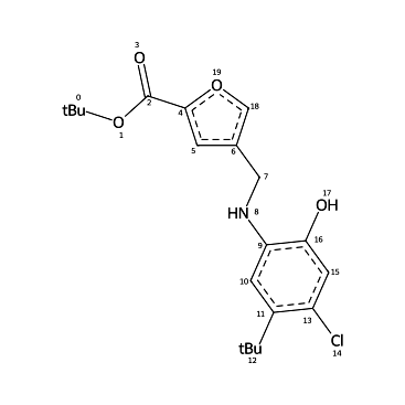 CC(C)(C)OC(=O)c1cc(CNc2cc(C(C)(C)C)c(Cl)cc2O)co1